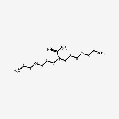 CCCOCCCN(CCCOCCC)C(=N)N